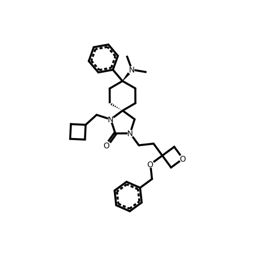 CN(C)[C@]1(c2ccccc2)CC[C@]2(CC1)CN(CCC1(OCc3ccccc3)COC1)C(=O)N2CC1CCC1